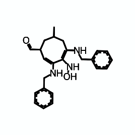 CC1C/C(NCc2ccccc2)=C(NO)\C(NCc2ccccc2)=C/C(C=O)C1